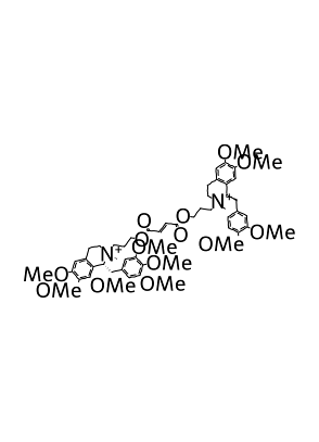 COc1ccc(C[C@@H]2c3cc(OC)c(OC)cc3CC[N+]2(C)CCCOC(=O)/C=C/C(=O)OCCC[N@+]2(C)CCc3cc(OC)c(OC)c(OC)c3[C@H]2Cc2cc(OC)c(OC)c(OC)c2)cc1OC